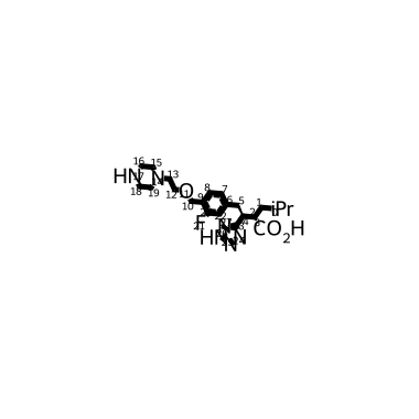 CC(C)C[C@H](C(=O)O)[C@H](Cc1ccc(COCCN2CCNCC2)c(F)c1)c1nn[nH]n1